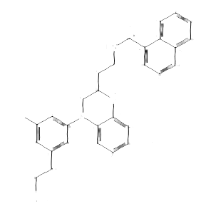 C[C@@H](NCCC1CN(c2cc(F)cc(CCC(=O)O)c2)c2ccccc2O1)c1cccc2ccccc12.Cl